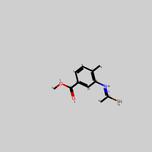 COC(=O)c1ccc(C)c(/N=C(\C)S)c1